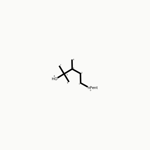 CCCCCCCC(C)C(C)(C)O